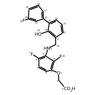 O=C(O)COc1ccc(F)c(NCc2cccc(-c3cccc(F)c3)c2O)c1F